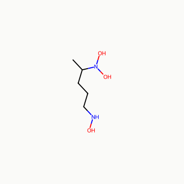 CC(CCCNO)N(O)O